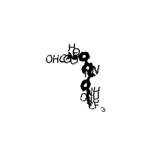 O=CONS(=O)(=O)c1cccc(-c2ccn3c(-c4cccc(NC(=O)NCC(F)(F)F)c4)cnc3c2)c1